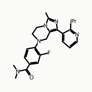 Cc1nc(-c2cccnc2C(C)C)c2n1CCN(c1ccc(C(=O)N(C)C)cc1F)C2